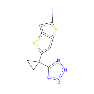 Ic1cc2sc(C3(c4nn[nH]n4)CC3)cc2s1